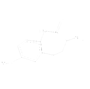 COc1ccc2c(c1)CCC(N)C(=O)N2